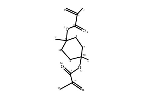 C=C(C)C(=O)OC1(C)CCC(C)(OC(=O)C(=C)C)CC1